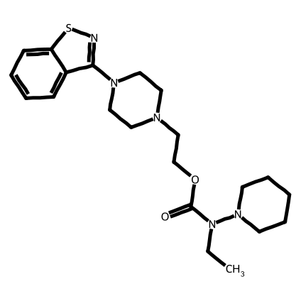 CCN(C(=O)OCCN1CCN(c2nsc3ccccc23)CC1)N1CCCCC1